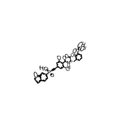 CS(=O)(=O)c1cccc(C[C@H](NC(=O)c2c(Cl)cc(C#CP(=O)(O)c3ccc4ccoc4c3)cc2Cl)C(=O)O)c1